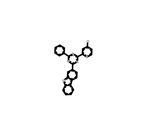 Clc1ccnc(-c2nc(-c3ccccc3)nc(-c3ccc4c(c3)oc3ccccc34)n2)c1